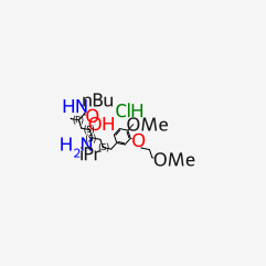 CCCCNC(=O)[C@H](C)C[C@H](O)[C@@H](N)C[C@H](Cc1ccc(OC)c(OCCCOC)c1)C(C)C.Cl